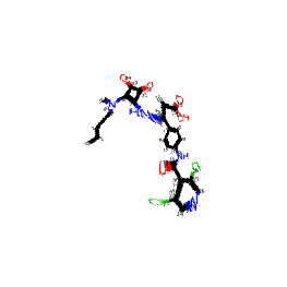 CCCCN(C)c1c(NC(CC(=O)O)c2ccc(NC(=O)c3c(Cl)cncc3Cl)cc2)c(=O)c1=O